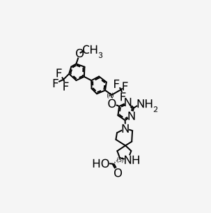 COc1cc(-c2ccc([C@@H](Oc3cc(N4CCC5(CC4)CN[C@H](C(=O)O)C5)nc(N)n3)C(F)(F)F)cc2)cc(C(F)(F)F)c1